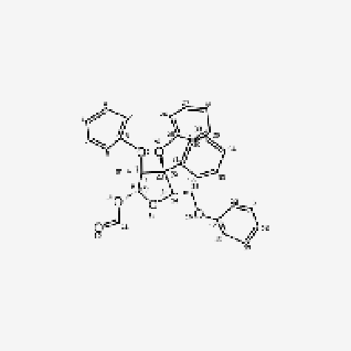 C[C@@]1(Oc2ccccc2)[C@@H](OC=O)O[C@@H](COc2ccccc2)[C@@]1(Oc1ccccc1)c1ccccc1